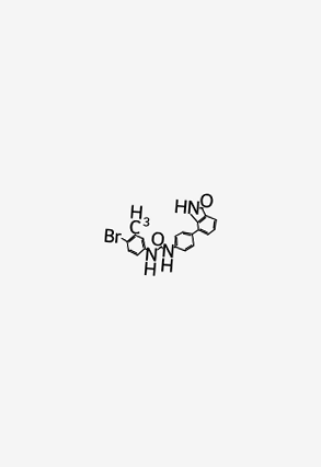 Cc1cc(NC(=O)Nc2ccc(-c3cccc4c3CNC4=O)cc2)ccc1Br